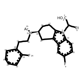 CCC(C(=O)O)n1c2c(c3cc(F)ccc31)C[C@@H](N(CCc1ccccc1F)C(C)=O)CC2